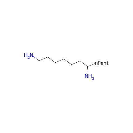 CCCCCC(N)CCCCCCN